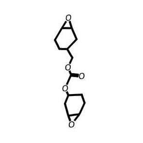 O=C(OCC1CCC2OC2C1)OC1CCC2OC2C1